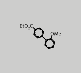 CCOC(=O)c1ccc(-c2ccccc2OC)cc1